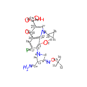 COc1c(N2C/C(=N\OC(C)(C)C)C(CN)C2)c(F)cc2c(=O)c(C(=O)O)cn(C3CC3)c12